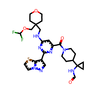 O=CNC1(C2CCN(C(=O)c3cc(NCC4(COC(F)F)CCOCC4)nc(-c4cnn5ccsc45)n3)CC2)CC1